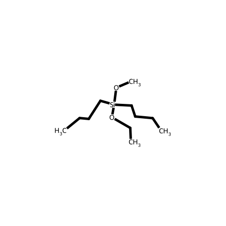 CCCC[Si](CCCC)(OC)OCC